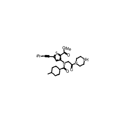 COC(=O)c1sc(C#CC(C)C)cc1N(CC(=O)N1CCNCC1)C(=O)C1CCC(C)CC1